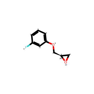 Fc1cccc(OC[C@H]2CO2)c1